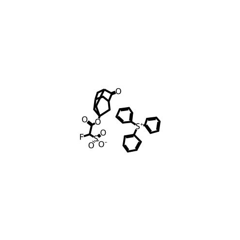 O=C1C2CC3CC1CC(OC(=O)C(F)S(=O)(=O)[O-])(C3)C2.c1ccc([S+](c2ccccc2)c2ccccc2)cc1